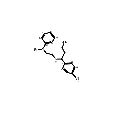 CCN(CCNC(CCC#N)c1ccc(Cl)cc1)c1ccccc1